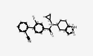 N#Cc1ccccc1-c1ccc(C(=O)N(C2CC2)C2CCc3[nH]ncc3C2)cc1F